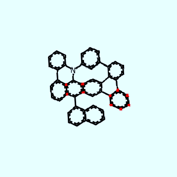 c1ccc(-c2ccccc2-c2c(-c3ccccc3)cccc2-c2cccc(N(c3ccc(-c4cccc5ccccc45)cc3)c3ccccc3-c3ccccc3)c2)cc1